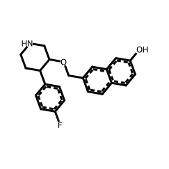 Oc1ccc2ccc(COC3CNCCC3c3ccc(F)cc3)cc2c1